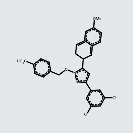 COc1ccc2c(c1)=CCC(c1cc(-c3cc(Cl)cc(Cl)c3)nn1OCc1ccc(C(=O)O)cc1)C=2